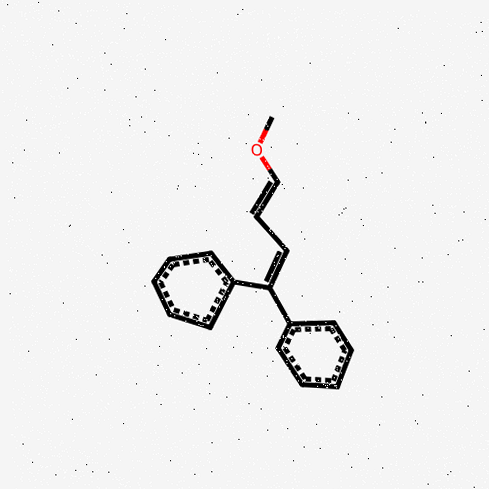 COC=CC=C(c1ccccc1)c1ccccc1